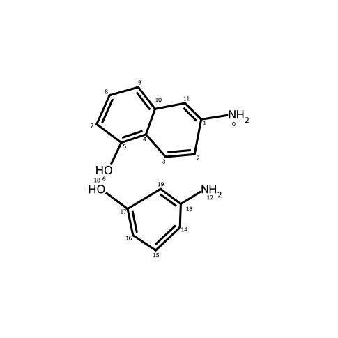 Nc1ccc2c(O)cccc2c1.Nc1cccc(O)c1